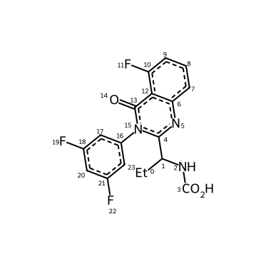 CCC(NC(=O)O)c1nc2cccc(F)c2c(=O)n1-c1cc(F)cc(F)c1